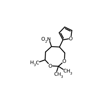 CC1CC([N+](=O)[O-])C(c2ccco2)COC(C)(C)O1